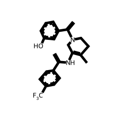 C=C(NC1=C(C)CCN(C(=C)c2cccc(O)c2)C1)c1ccc(C(F)(F)F)cc1